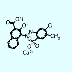 Cc1cc(S(=O)(=O)[O-])c(/N=N/c2c([O-])c(C(=O)O)cc3ccccc23)cc1Cl.[Ca+2]